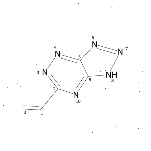 C=Cc1nnc2nn[nH]c2n1